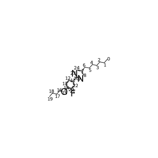 CCCCCCCc1cnc(-c2ccc(OCCCC)c(F)c2)nc1